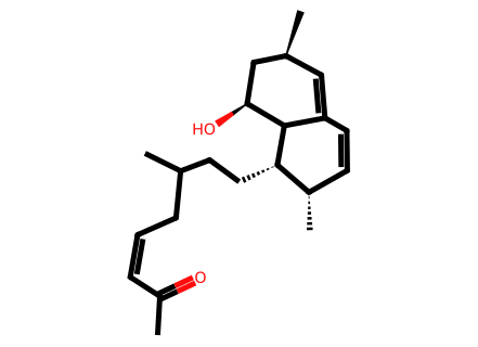 CC(=O)/C=C\CC(C)CC[C@@H]1C2C(=C[C@H](C)C[C@@H]2O)C=C[C@@H]1C